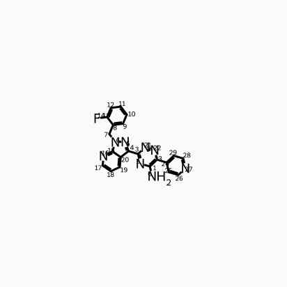 Nc1nc(-c2nn(Cc3ccccc3F)c3ncccc23)nnc1-c1ccncc1